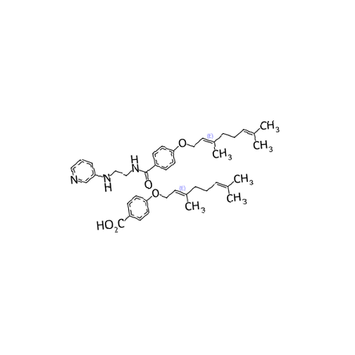 CC(C)=CCC/C(C)=C/COc1ccc(C(=O)NCCNc2cccnc2)cc1.CC(C)=CCC/C(C)=C/COc1ccc(C(=O)O)cc1